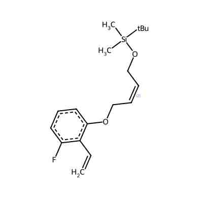 C=Cc1c(F)cccc1OC/C=C\CO[Si](C)(C)C(C)(C)C